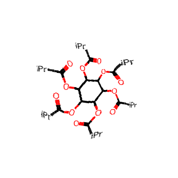 CC(C)C(=O)OC1C(OC(=O)C(C)C)C(OC(=O)C(C)C)C(OC(=O)C(C)C)C(OC(=O)C(C)C)C1OC(=O)C(C)C